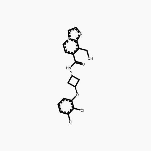 O=C(N[C@H]1C[C@H](Oc2cccc(Cl)c2Cl)C1)c1ccn2ccnc2c1CO